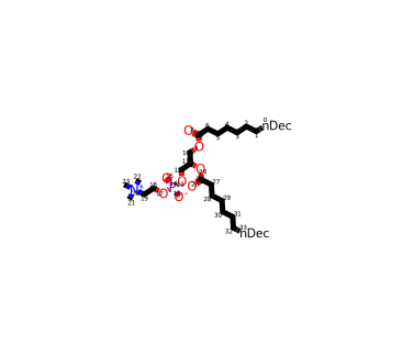 CCCCCCCCCCCCCCCCC(=O)OCC(COP(=O)([O-])OCC[N+](C)(C)C)OC(=O)CCCCCCCCCCCCCCCC